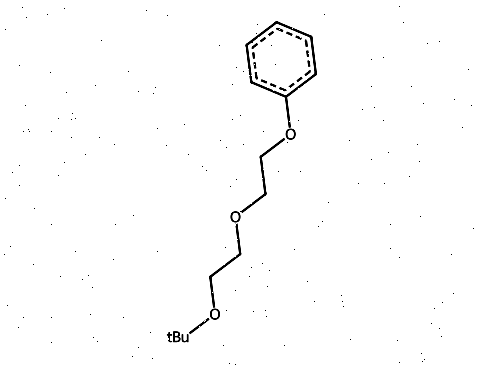 CC(C)(C)OCCOCCOc1ccccc1